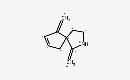 C=C1C=CCC12CCNC2=C